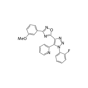 COc1cccc(-c2noc(-c3nnn(-c4ccccc4F)c3-c3ccccn3)n2)c1